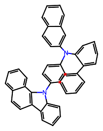 c1ccc(-c2ccccc2N(c2ccc(-n3c4ccccc4c4ccc5ccccc5c43)cc2)c2ccc3ccccc3c2)cc1